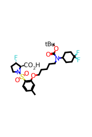 Cc1ccc(S(=O)(=O)N2CC[C@H](F)[C@H]2C(=O)O)c(OCCCCCN(C(=O)OC(C)(C)C)C2CCC(F)(F)CC2)c1